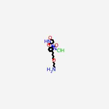 Cl.Cn1c(=O)n(C2CCC(=O)NC2=O)c2cccc(CCCCOCCCCN)c21